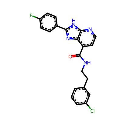 O=C(NCCc1cccc(Cl)c1)c1ccnc2[nH]c(-c3ccc(F)cc3)nc12